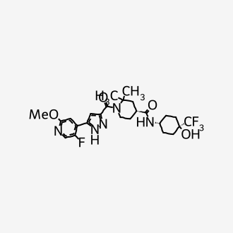 COc1cc(-c2cc(C(=O)N3CC[C@H](C(=O)N[C@H]4CC[C@@](O)(C(F)(F)F)CC4)CC3(C)C)n[nH]2)c(F)cn1